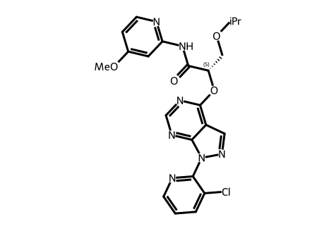 COc1ccnc(NC(=O)[C@H](COC(C)C)Oc2ncnc3c2cnn3-c2ncccc2Cl)c1